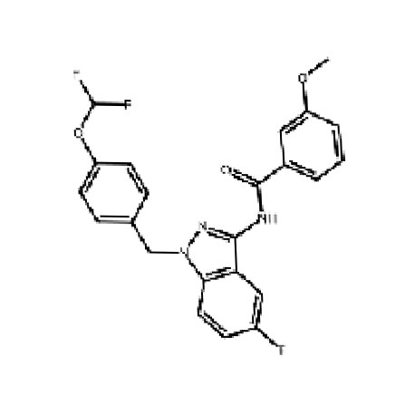 COc1cccc(C(=O)Nc2nn(Cc3ccc(OC(F)F)cc3)c3ccc(F)cc23)c1